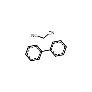 N#CCC#N.c1ccc(-c2ccccc2)cc1